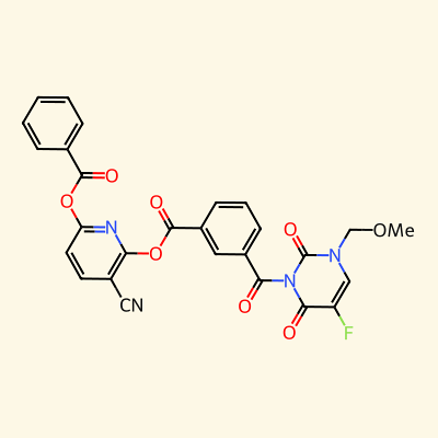 COCn1cc(F)c(=O)n(C(=O)c2cccc(C(=O)Oc3nc(OC(=O)c4ccccc4)ccc3C#N)c2)c1=O